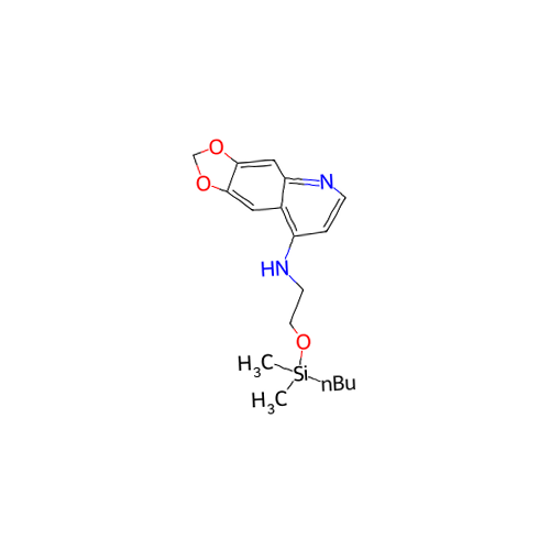 CCCC[Si](C)(C)OCCNc1ccnc2cc3c(cc12)OCO3